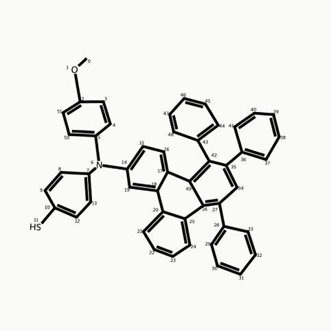 COc1ccc(N(c2ccc(S)cc2)c2ccc3c(c2)c2ccccc2c2c(-c4ccccc4)cc(-c4ccccc4)c(-c4ccccc4)c32)cc1